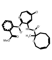 COC(=O)c1ccccc1[S+]([O-])C1=NCC=C(Cl)C=C1N[S+]([O-])C1(C)CC/C=C\C=C/CO1